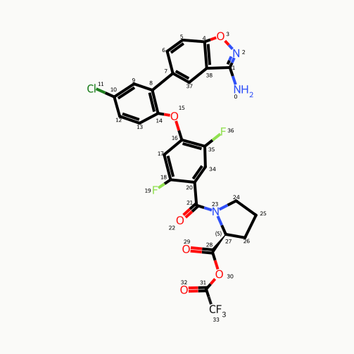 Nc1noc2ccc(-c3cc(Cl)ccc3Oc3cc(F)c(C(=O)N4CCC[C@H]4C(=O)OC(=O)C(F)(F)F)cc3F)cc12